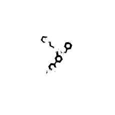 COc1ccc(-c2ccc3c(c2)c(OCCCN2CCC[C@@H]2C)nn3Cc2ccc(Cl)cc2)cn1